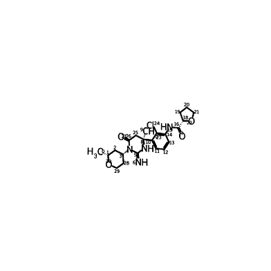 C[C@@H]1C[C@H](N2C(=N)N[C@](C)(c3cccc(NC(=O)[C@@H]4CCCO4)c3Cl)CC2=O)CCO1